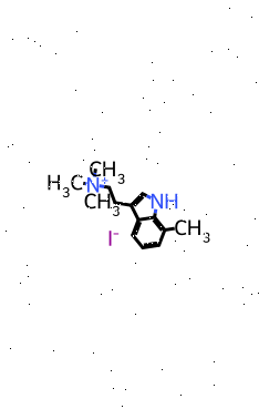 Cc1cccc2c(CC[N+](C)(C)C)c[nH]c12.[I-]